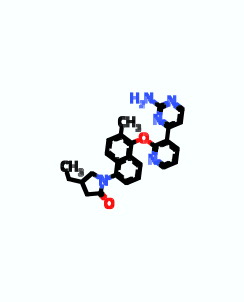 CCC1CC(=O)N(c2cccc3c(Oc4ncccc4-c4ccnc(N)n4)c(C)ccc23)C1